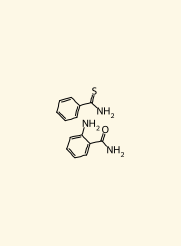 NC(=O)c1ccccc1N.NC(=S)c1ccccc1